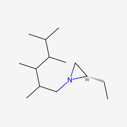 CC[C@H]1CN1CC(C)C(C)C(C)C(C)C